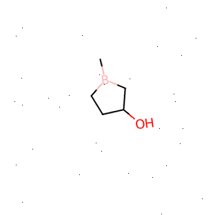 CB1CCC(O)C1